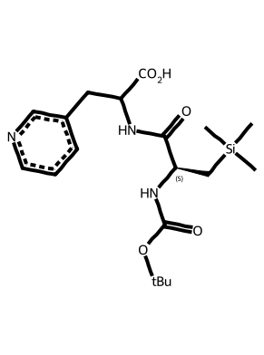 CC(C)(C)OC(=O)N[C@H](C[Si](C)(C)C)C(=O)NC(Cc1cccnc1)C(=O)O